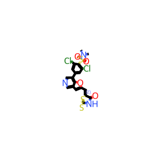 CN(C)S(=O)(=O)c1c(Cl)cc(-c2cncc3cc(/C=C4\SC(=S)NC4=O)oc23)cc1Cl